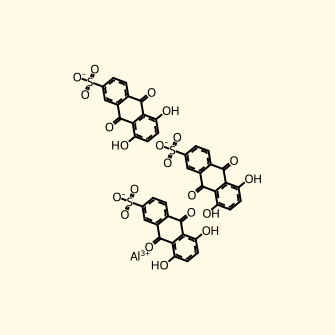 O=C1c2ccc(S(=O)(=O)[O-])cc2C(=O)c2c(O)ccc(O)c21.O=C1c2ccc(S(=O)(=O)[O-])cc2C(=O)c2c(O)ccc(O)c21.O=C1c2ccc(S(=O)(=O)[O-])cc2C(=O)c2c(O)ccc(O)c21.[Al+3]